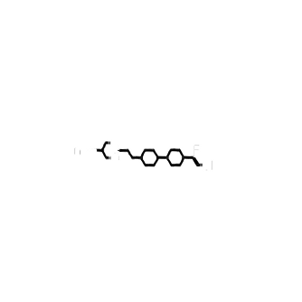 CCCC1COC(CCC2CCC(C3CCC(/C(F)=C/C(F)(F)F)CC3)CC2)OC1